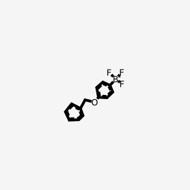 F[B-](F)(F)c1ccc(OCc2ccccc2)cc1